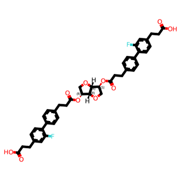 O=C(O)CCc1ccc(-c2ccc(CCC(=O)O[C@H]3CO[C@H]4[C@@H]3OC[C@H]4OC(=O)CCc3ccc(-c4ccc(CCC(=O)O)cc4F)cc3)cc2)c(F)c1